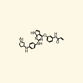 C=CC(=O)Nc1cccc(Oc2nc(Nc3ccc(NC4CCN(C(C)=O)C4)cc3)nc3[nH]ccc23)c1